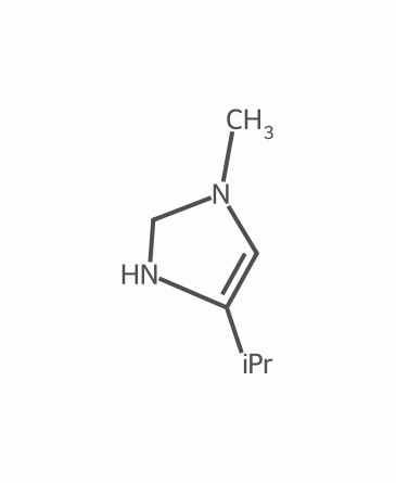 CC(C)C1=CN(C)CN1